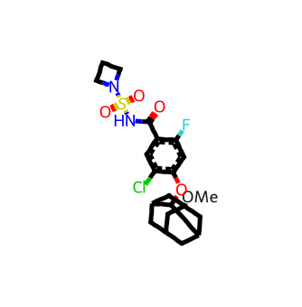 COC12CC3CC(C1)C(Oc1cc(F)c(C(=O)NS(=O)(=O)N4CCC4)cc1Cl)C(C3)C2